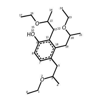 CCOC(C)Cc1ccc(O)c(CC(C)OCC)c1CC(C)OCC